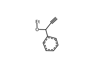 C#CC(OCC)c1ccccc1